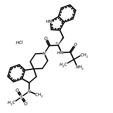 CN(C1CC2(CCN(C(=O)[C@@H](Cc3c[nH]c4ccccc34)NC(=O)C(C)(C)N)CC2)c2ccccc21)S(C)(=O)=O.Cl